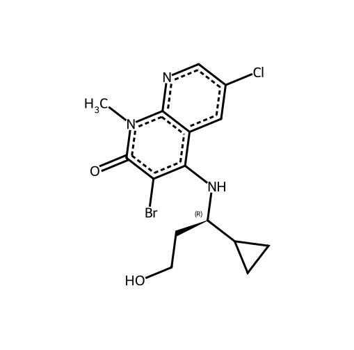 Cn1c(=O)c(Br)c(N[C@H](CCO)C2CC2)c2cc(Cl)cnc21